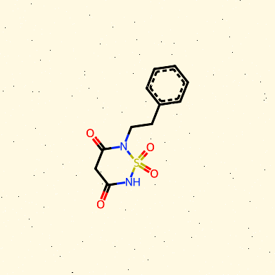 O=C1CC(=O)N(CCc2ccccc2)S(=O)(=O)N1